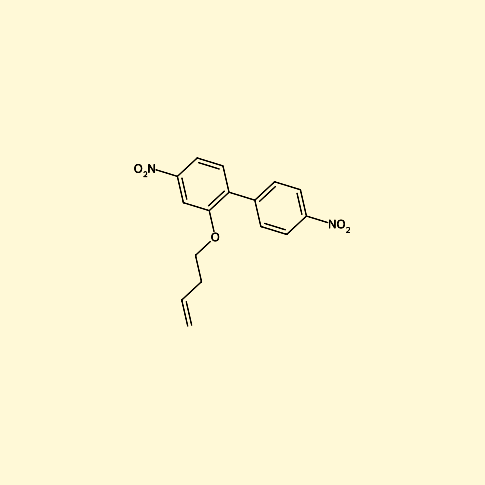 C=CCCOc1cc([N+](=O)[O-])ccc1-c1ccc([N+](=O)[O-])cc1